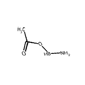 CC(=O)OBN